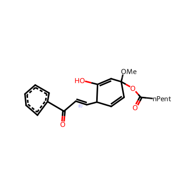 CCCCCC(=O)OC1(OC)C=CC(/C=C/C(=O)c2ccccc2)C(O)=C1